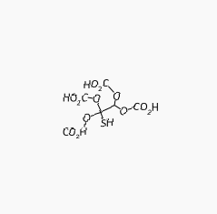 O=C(O)OC(OC(=O)O)C(S)(OC(=O)O)OC(=O)O